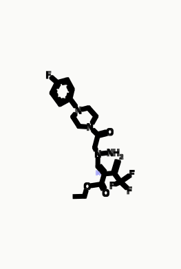 C=C(/C(=C\N(N)CC(=O)N1CCN(c2ccc(F)cc2)CC1)C(=O)OCC)C(F)(F)F